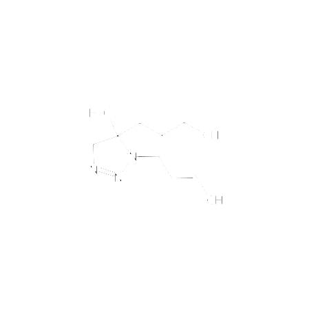 CCCCC1(C)CN=NN1CCSC